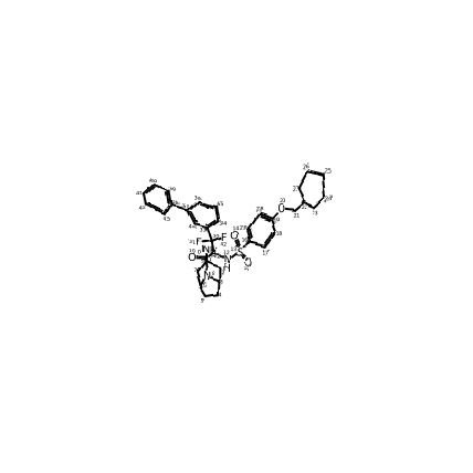 NC1CC2CCC(C1)N2C(=O)[C@H](NS(=O)(=O)c1ccc(OCC2CCCCC2)cc1)C(F)(F)c1cccc(-c2ccccc2)c1